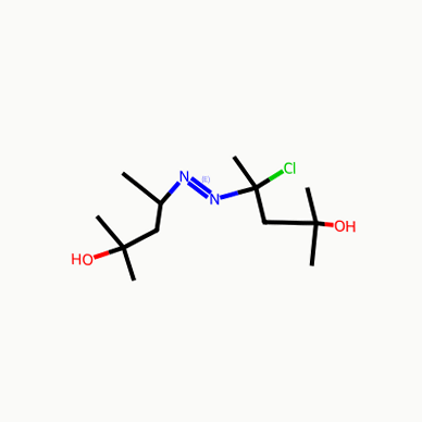 CC(CC(C)(C)O)/N=N/C(C)(Cl)CC(C)(C)O